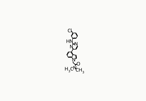 CN(C)C(=O)Cn1ccc2c(-c3ccnc(Nc4cccc(Cl)c4)n3)cccc21